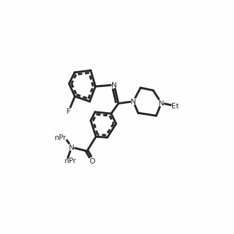 CCCN(CCC)C(=O)c1ccc(/C(=N\c2cccc(F)c2)N2CCN(CC)CC2)cc1